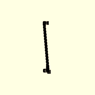 OCCCCCCCCCCCCCCCCCCCCCCCCCCCCCCCC[SiH](Cl)Cl